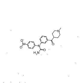 CN1CCC(C(=O)c2cccc(N(C(N)=O)c3ccc([N+](=O)[O-])cc3)c2)CC1